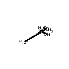 CCCCCCCCCCCCCCCC(=O)N(CCO)CCN(C)C